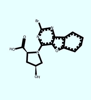 O=C(O)[C@@H]1C[C@H](O)CN1c1nc(Br)nc2c1oc1ccccc12